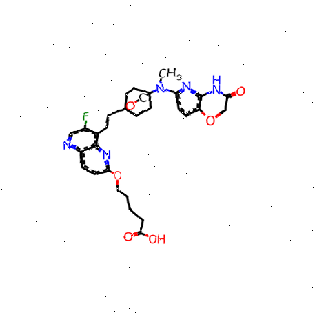 CN(c1ccc2c(n1)NC(=O)CO2)C12CCC(CCc3c(F)cnc4ccc(OCCCCC(=O)O)nc34)(CC1)OC2